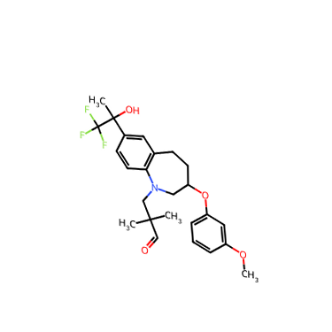 COc1cccc(OC2CCc3cc(C(C)(O)C(F)(F)F)ccc3N(CC(C)(C)C=O)C2)c1